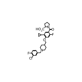 O=C(O)C1CCCN1C(=O)c1cc(C2CC2)c(OCC2CCN(Cc3ccc(F)c(Cl)c3)CC2)cc1F